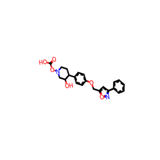 O=C(O)ON1CCC(c2ccc(OCc3cc(-c4ccccc4)no3)cc2)C(O)C1